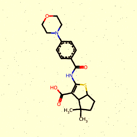 CC1(C)CCC2SC(NC(=O)c3ccc(N4CCOCC4)cc3)=C(C(=O)O)C21